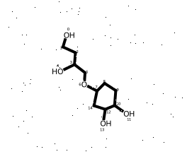 OCCC(O)COC1CCC(O)C(O)C1